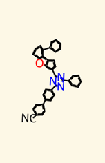 N#Cc1ccc(-c2ccc(-c3nc(-c4ccccc4)nc(-c4ccc5c(c4)oc4cccc(-c6ccccc6)c45)n3)cc2)cc1